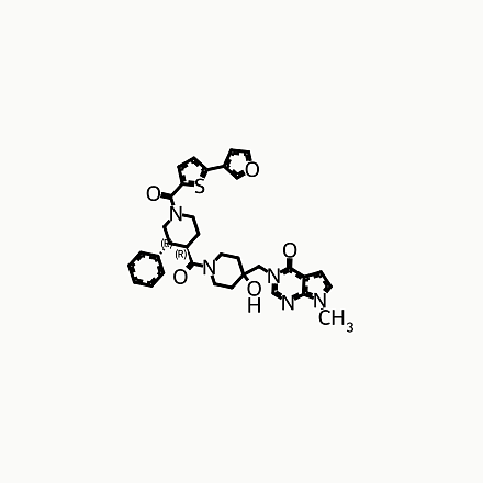 Cn1ccc2c(=O)n(CC3(O)CCN(C(=O)[C@@H]4CCN(C(=O)c5ccc(-c6ccoc6)s5)C[C@H]4c4ccccc4)CC3)cnc21